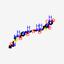 CC(C)(C)c1cnc(CSc2cnc(NC(=O)C3CCN(CC(=O)NCCOCCNC(=O)NCc4cc5c(s4)C(=O)N(C4CCC(=O)NC4=O)C5)CC3)s2)o1